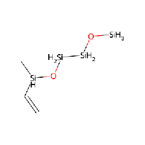 C=C[SiH](C)O[SiH2][SiH2]O[SiH3]